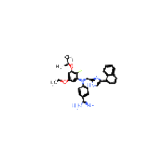 CCOc1cc(OC(C)C)c(F)c(N(Cc2nc(-c3cccc4ccccc34)c[nH]2)c2ccc(C(=N)N)cc2)c1